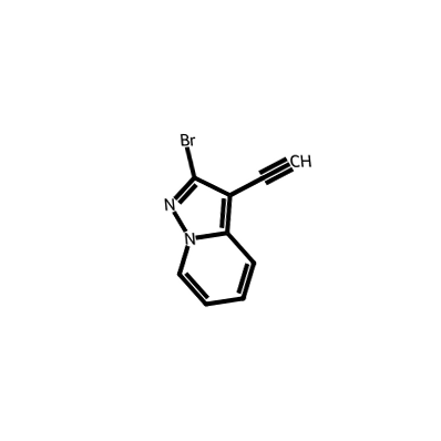 C#Cc1c(Br)nn2ccccc12